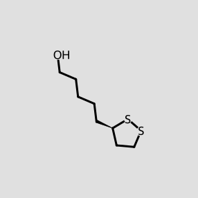 OCCCCC[C@@H]1CCSS1